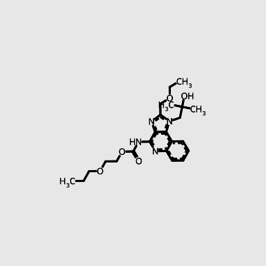 CCCOCCOC(=O)Nc1nc2ccccc2c2c1nc(COCC)n2CC(C)(C)O